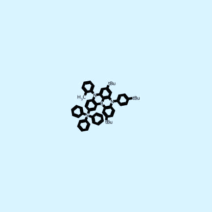 Cc1ccccc1N1c2ccc([Si](c3ccccc3)(c3ccccc3)c3ccccc3)cc2B2c3cc(C(C)(C)C)ccc3N(c3ccc(C(C)(C)C)cc3)c3cc(C(C)(C)C)cc1c32